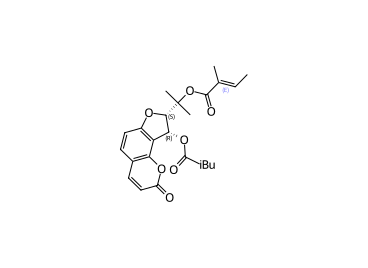 C/C=C(\C)C(=O)OC(C)(C)[C@H]1Oc2ccc3ccc(=O)oc3c2[C@H]1OC(=O)C(C)CC